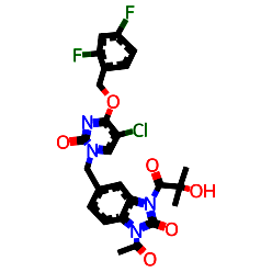 CC(=O)n1c(=O)n(C(=O)C(C)(C)O)c2cc(Cn3cc(Cl)c(OCc4ccc(F)cc4F)nc3=O)ccc21